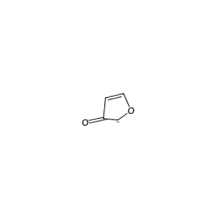 O=C1[C]OC=C1